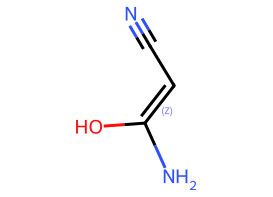 N#C/C=C(/N)O